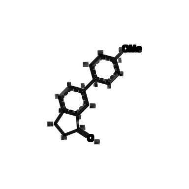 COc1ccc(-c2ccc3c(c2)C(=O)CC3)cc1